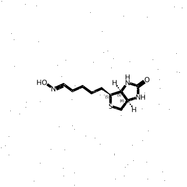 O=C1N[C@H]2[C@H](CS[C@H]2CCCCC=NO)N1